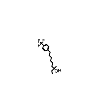 CCC(C)(O)CCCCCCc1ccc(C(F)(F)F)cc1